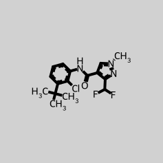 Cn1cc(C(=O)Nc2cccc(C(C)(C)C)c2Cl)c(C(F)F)n1